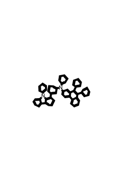 c1ccc(-c2c(-c3ccccc3)c3cc(N(c4ccccc4)c4cccc(-c5cccc6c7ccccc7n(-c7ccccc7)c56)c4)ccc3c3ccccc23)cc1